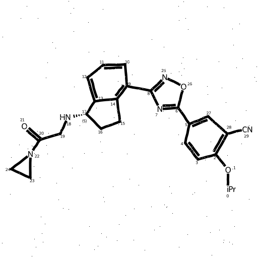 CC(C)Oc1ccc(-c2nc(-c3cccc4c3CC[C@@H]4NCC(=O)N3CC3)no2)cc1C#N